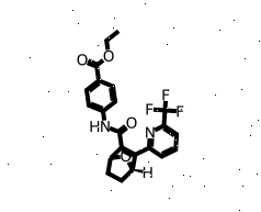 CCOC(=O)c1ccc(NC(=O)C2=C(c3cccc(C(F)(F)F)n3)[C@@H]3CCC2O3)cc1